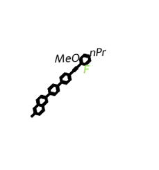 CCCc1cc(F)c(C#Cc2ccc(-c3ccc(-c4ccc5cc(C)ccc5c4)cc3)cc2)c(OC)c1